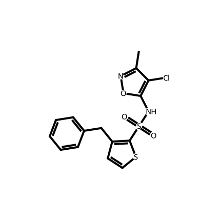 Cc1noc(NS(=O)(=O)c2sccc2Cc2ccccc2)c1Cl